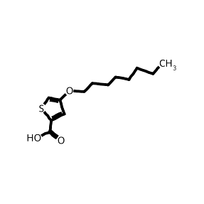 CCCCCCCCOc1csc(C(=O)O)c1